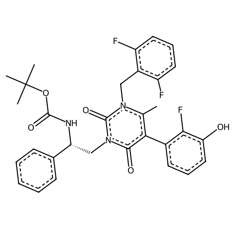 Cc1c(-c2cccc(O)c2F)c(=O)n(C[C@@H](NC(=O)OC(C)(C)C)c2ccccc2)c(=O)n1Cc1c(F)cccc1F